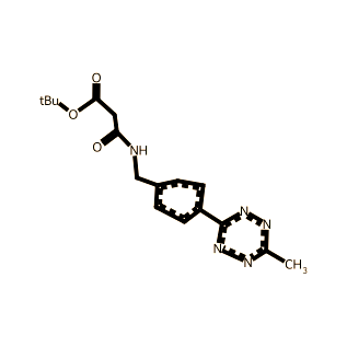 Cc1nnc(-c2ccc(CNC(=O)CC(=O)OC(C)(C)C)cc2)nn1